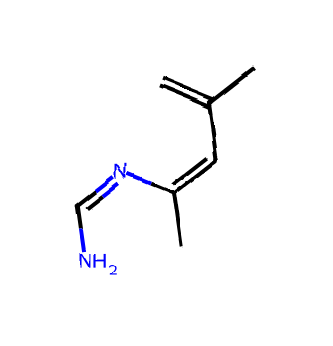 C=C(C)/C=C(C)\N=C/N